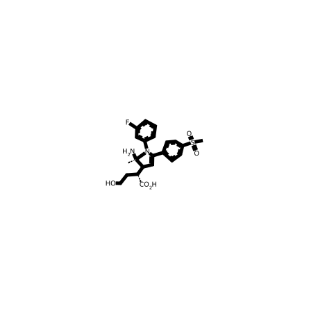 C[C@@]1(N)C([C@@H](CCO)C(=O)O)C=C(c2ccc(S(C)(=O)=O)cc2)N1c1cccc(F)c1